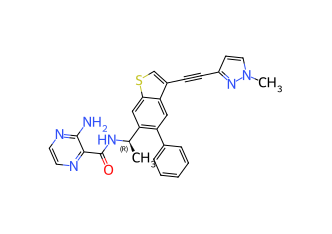 C[C@@H](NC(=O)c1nccnc1N)c1cc2scc(C#Cc3ccn(C)n3)c2cc1-c1ccccc1